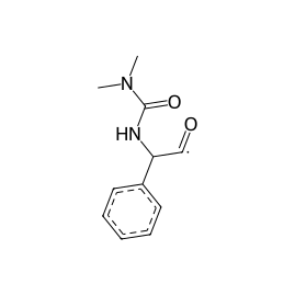 CN(C)C(=O)NC([C]=O)c1ccccc1